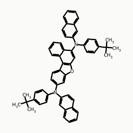 CC(C)(C)c1ccc(N(c2ccc3ccccc3c2)c2ccc3c(c2)oc2cc(N(c4ccc(C(C)(C)C)cc4)c4ccc5ccccc5c4)c4ccccc4c23)cc1